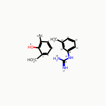 CC(=O)c1cccc(C(=O)O)c1O.Cc1cccc(NC(=N)N)c1